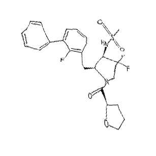 CS(=O)(=O)N[C@@H]1[C@H](Cc2cccc(-c3ccccc3)c2F)N(C(=O)[C@H]2CCCO2)CC1(F)F